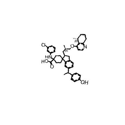 CC(c1ccc(O)cc1)c1ccc2c(c1)C1(CCC(Nc3cccc(Cl)c3)(C(=O)O)CC1)C(C[C@@H](C)COc1ccnc3c1[C@H](C)CCC3)C2